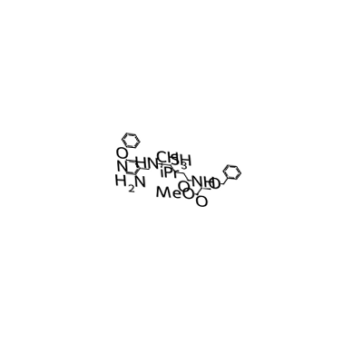 COC(=O)[C@H](COCc1ccccc1)NC(=O)CCC(S)[C@@](C)(NCc1cc(Oc2ccccc2)ncc1N)C(C)C